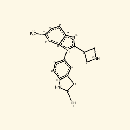 OC1Cc2cc(-n3c(C4CNC4)nc4ccc(C(F)(F)F)nc43)ccc2N1